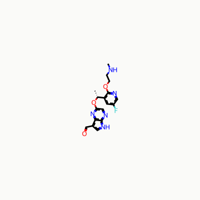 CNCCOc1ncc(F)cc1[C@@H](C)Oc1cnc2[nH]cc(C=O)c2n1